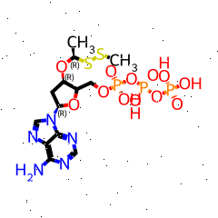 CSS[C@H](C)O[C@@H]1C[C@H](n2cnc3c(N)ncnc32)OC1COP(=O)(O)OP(=O)(O)OP(=O)(O)O